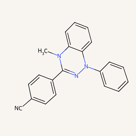 CN1C(c2ccc(C#N)cc2)=NN(c2ccccc2)c2ccccc21